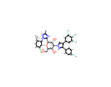 Cc1nc([C@@H]2O[C@H](CO)[C@H](O)[C@H](n3cc(-c4cc(F)c(F)c(F)c4)c(-c4ccc(F)cc4)n3)[C@H]2O)n(-c2cc(Cl)ccc2C(F)(F)F)n1